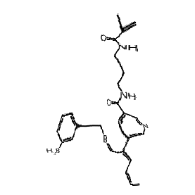 Bc1cccc(C/B=C/C(=C\C=C/C)c2cncc(C(=O)NCCCNC(=O)C(=C)C)c2)c1